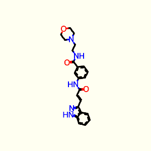 O=C(/C=C/c1n[nH]c2ccccc12)Nc1cccc(C(=O)NCCN2CCOCC2)c1